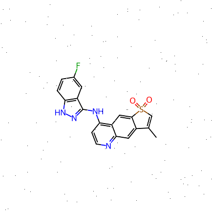 CC1=CS(=O)(=O)c2cc3c(Nc4n[nH]c5ccc(F)cc45)ccnc3cc21